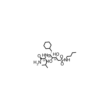 CCCCNS(=O)(=O)C[C@@H](O)C(O)[C@@H](CC1CCCCC1)N[C@@H](CC(C)C)C(N)=O